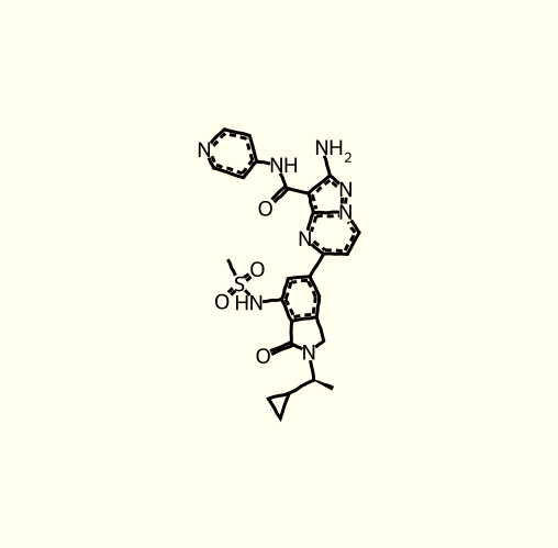 C[C@@H](C1CC1)N1Cc2cc(-c3ccn4nc(N)c(C(=O)Nc5ccncc5)c4n3)cc(NS(C)(=O)=O)c2C1=O